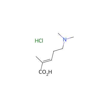 C/C(=C\CCN(C)C)C(=O)O.Cl